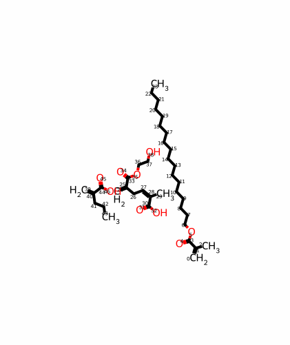 C=C(C)C(=O)OCCCCCCCCCCCCCCCCCC.C=C(CC=C(C)C(=O)O)C(=O)OCCO.C=C(CCC)C(=O)O